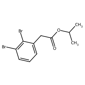 CC(C)OC(=O)Cc1cccc(Br)c1Br